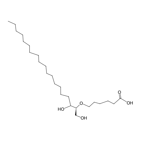 CCCCCCCCCCCCCCCCC(O)[C@H](CO)OCCCCCC(=O)O